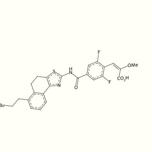 COC(=Cc1c(F)cc(C(=O)Nc2nc3c(s2)CCc2c(CCC(C)(C)C)cccc2-3)cc1F)C(=O)O